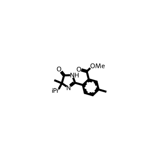 COC(=O)c1cc(C)ccc1C1=NC(C)(C(C)C)C(=O)N1